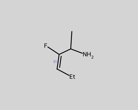 CC/C=C(/F)C(C)N